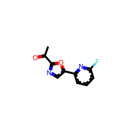 CC(=O)c1ncc(-c2cccc(F)n2)o1